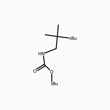 CCCCC(C)(C)CNC(=O)OC(C)(C)C